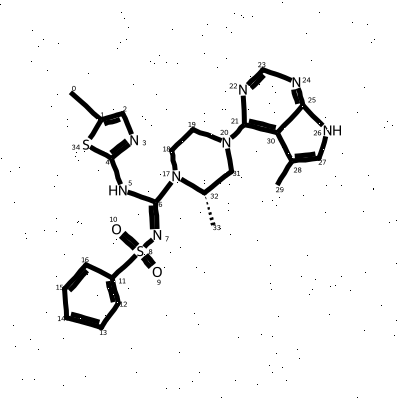 Cc1cnc(N/C(=N\S(=O)(=O)c2ccccc2)N2CCN(c3ncnc4[nH]cc(C)c34)C[C@@H]2C)s1